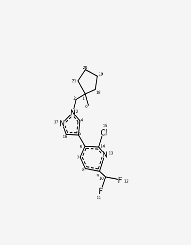 CC1(Cn2cc(-c3ccc(C(F)F)nc3Cl)cn2)CCCC1